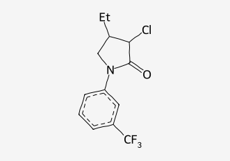 CCC1CN(c2cccc(C(F)(F)F)c2)C(=O)C1Cl